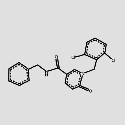 O=C(NCc1ccccc1)c1ccc(=O)n(Cc2c(Cl)cccc2Cl)c1